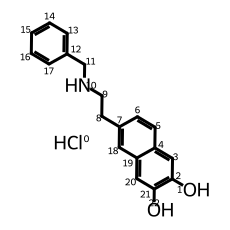 Cl.Oc1cc2ccc(CCNCc3ccccc3)cc2cc1O